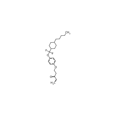 C=CC(=O)CCOc1ccc(OC(F)(F)C2CCC(CCCCC)CC2)cc1